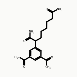 CC(=O)c1cc(C(C)=O)cc(C(CCCCCC(N)=O)C(N)=O)c1